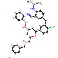 CC(C)Nc1ccc(Cc2cc(C3CC(OCc4ccccc4)CC(COCc4ccccc4)O3)ccc2Cl)cc1C=N